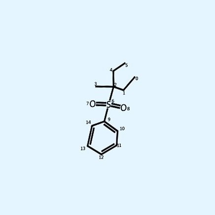 CCC(C)(CC)S(=O)(=O)c1ccccc1